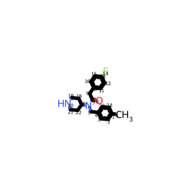 Cc1ccc(CN(C(=O)Cc2ccc(F)cc2)C2CCNCC2)cc1